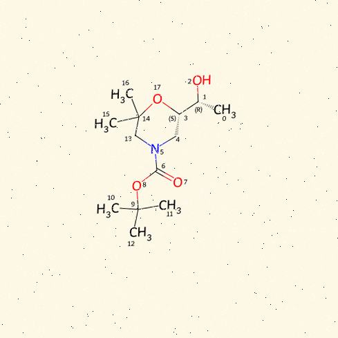 C[C@@H](O)[C@@H]1CN(C(=O)OC(C)(C)C)CC(C)(C)O1